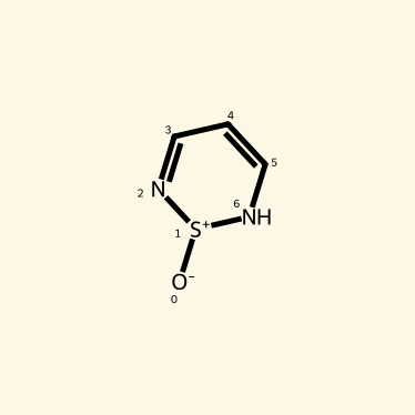 [O-][S+]1N=CC=CN1